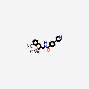 COC(=O)C(Cc1cccc(C#N)c1)[C@@H](C)NC(=O)c1ccc(-c2ccncc2)cc1